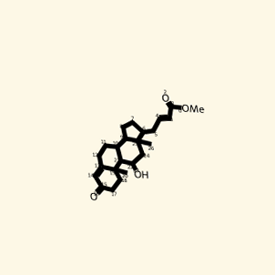 COC(=O)/C=C/CC1CCC2C3CCC4=CC(=O)CCC4(C)C3C(O)CC12C